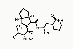 CC(=O)N[C@H](C(=O)N1C[C@@H]2CCC[C@@H]2[C@H]1C(=O)N[C@H](C#N)C[C@@H]1CCCNC1=O)C(C(F)(F)F)C(F)(F)F